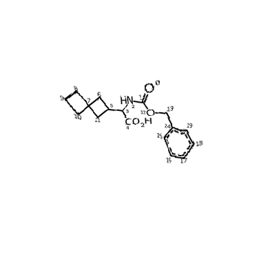 O=C(NC(C(=O)O)C1CC2(CCC2)C1)OCc1ccccc1